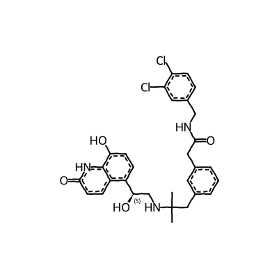 CC(C)(Cc1cccc(CC(=O)NCc2ccc(Cl)c(Cl)c2)c1)NC[C@@H](O)c1ccc(O)c2[nH]c(=O)ccc12